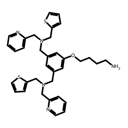 NCCCCOc1cc(CN(Cc2ccccn2)Cc2cccs2)cc(CN(Cc2ccccn2)Cc2cccs2)c1